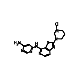 Nc1cc(Nc2nccc3nc(N4CCC[C@H](Cl)C4)sc23)ncn1